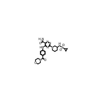 NC(=O)c1nnc(N2CCCC(NS(=O)(=O)C3CC3)C2)nc1Nc1ccc(C(=O)N2CCOCC2)cc1